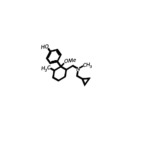 COC1(c2ccc(O)cc2)C(C)CCCC1CN(C)CC1CC1